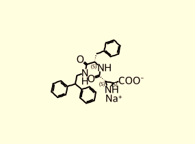 O=C(NCC(c1ccccc1)c1ccccc1)[C@H](Cc1ccccc1)NC(=O)[C@H]1N[C@@H]1C(=O)[O-].[Na+]